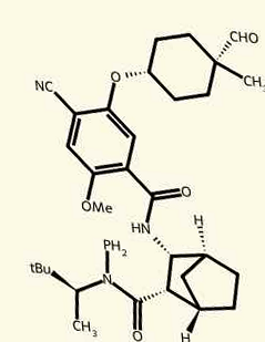 COc1cc(C#N)c(O[C@H]2CC[C@@](C)(C=O)CC2)cc1C(=O)N[C@@H]1[C@H]2CC[C@@H](C2)[C@@H]1C(=O)N(P)[C@@H](C)C(C)(C)C